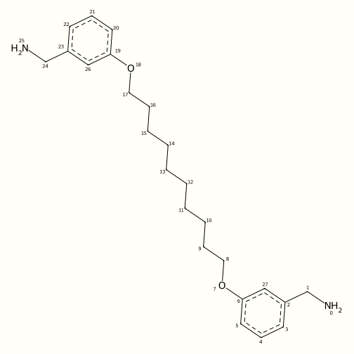 NCc1cccc(OCCCCCCCCCCOc2cccc(CN)c2)c1